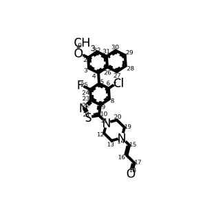 COc1cc(-c2c(Cl)cc3c(N4CCN(C=CC=O)CC4)snc3c2F)c2ccccc2c1